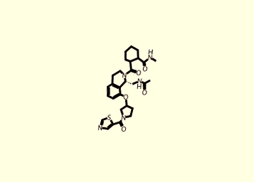 CNC(=O)C1CCCCC1C(=O)N1CCc2cccc(OC3CCN(C(=O)c4cncs4)C3)c2[C@H]1CNC(C)=O